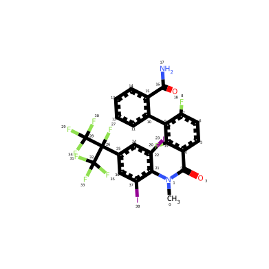 CN(C(=O)c1ccc(F)c(-c2ccccc2C(N)=O)c1F)c1c(I)cc(C(F)(C(F)(F)F)C(F)(F)F)cc1I